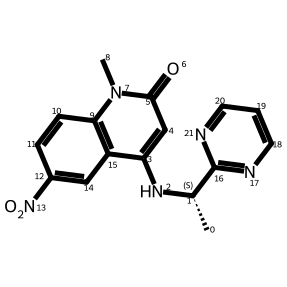 C[C@H](Nc1cc(=O)n(C)c2ccc([N+](=O)[O-])cc12)c1ncccn1